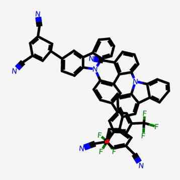 N#Cc1cc(C#N)cc(-c2ccc3c(c2)c2ccccc2n3-c2ccc(-c3cc(C(F)(F)F)cc(C(F)(F)F)c3)cc2-c2c(C#N)cccc2-n2c3ccccc3c3cc(-c4cc(C#N)cc(C#N)c4)ccc32)c1